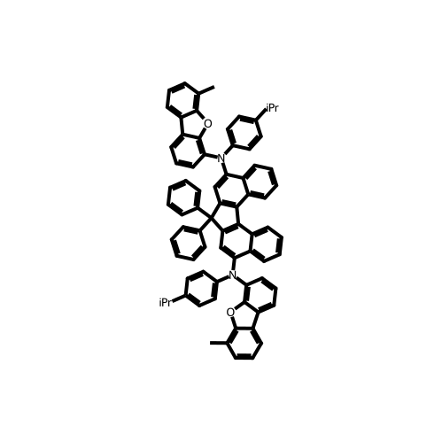 Cc1cccc2c1oc1c(N(c3ccc(C(C)C)cc3)c3cc4c(c5ccccc35)-c3c(cc(N(c5ccc(C(C)C)cc5)c5cccc6c5oc5c(C)cccc56)c5ccccc35)C4(c3ccccc3)c3ccccc3)cccc12